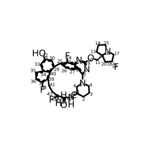 C[C@@]12CCCN(C1)c1nc(OC[C@@]34CCCN3C[C@H](F)C4)nc3c(F)c(ccc13)-c1cc(O)cc3ccc(F)c(c13)CC[C@@H](F)C(=O)N2